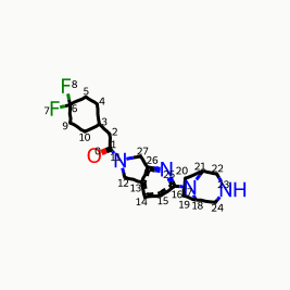 O=C(CC1CCC(F)(F)CC1)N1Cc2ccc(N3C4CCC3CNC4)nc2C1